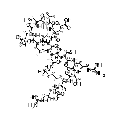 CC(C)C[C@H](N)C(=O)N[C@@H](CCC(=O)O)C(=O)N[C@@H](CS)C(=O)N[C@H](C(=O)N[C@@H](CCC(=O)O)C(=O)N1CCC[C@H]1C(=O)N[C@@H](CC(N)=O)C(=O)N[C@@H](CS)C(=O)N[C@@H](CCCNC(=N)N)C(=O)N[C@@H](CO)C(=O)N[C@@H](CCCCN)C(=O)N[C@@H](CCCNC(=N)N)C(=O)O)C(C)C